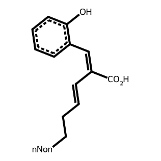 CCCCCCCCCCCC=CC(=Cc1ccccc1O)C(=O)O